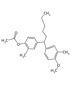 CCCCCC(c1ccc(OC)c(C)c1)c1ccc(OC(C)=O)c(C)c1